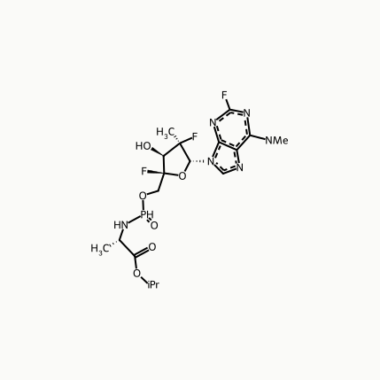 CNc1nc(F)nc2c1ncn2[C@@H]1O[C@](F)(CO[PH](=O)N[C@@H](C)C(=O)OC(C)C)[C@@H](O)[C@@]1(C)F